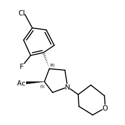 CC(=O)[C@@H]1CN(C2CCOCC2)C[C@H]1c1ccc(Cl)cc1F